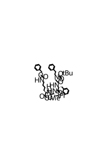 COC(=O)[C@@H](CCCCNC(=O)OCc1ccccc1)NC(=O)[C@@H](CC(C)C)NC(=O)[C@@H](Cc1ccccc1)NC(=O)CN(CCc1ccccc1)C(=O)OC(C)(C)C